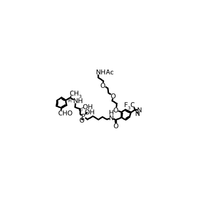 CC(=O)NCCOCCOCCOc1cc(C2(C(F)(F)F)N=N2)ccc1C(=O)NCCCCCP(=O)(O)C[C@@H](O)CN[C@H](C)c1cccc(C=O)c1